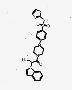 CC(C(=O)N1CCN(c2ccc(S(=O)(=O)Nc3nccs3)cc2)CC1)n1ccc2ccccc21